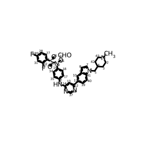 CN1CCC(Cn2ccc3cc(-c4cc(Nc5ccc(N(OC=O)S(=O)(=O)c6ccc(F)cc6F)cc5)ncn4)ccc32)CC1